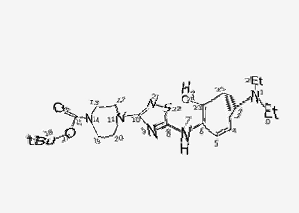 CCN(CC)c1ccc(Nc2nc(N3CCN(C(=O)OC(C)(C)C)CC3)ns2)c(C)c1